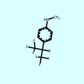 CNc1ccc(C(F)(C(F)(F)F)C(F)(F)F)cc1